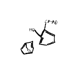 O=Cc1ccccc1O.c1cc2ccc1CO2